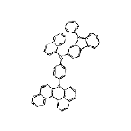 c1ccc(-n2c3ccccc3c3ccc(N(c4ccc(N5c6ccc7ccccc7c6-c6cccc7cccc5c67)cc4)c4cccc5ccccc45)cc32)cc1